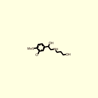 CSc1ccc(C(O)CNCCCO)cc1Cl